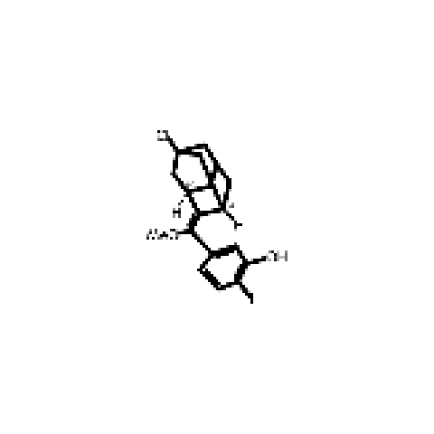 COC(=C1[C@@H]2CC3C[C@H]1CC(Cl)(C3)C2)c1ccc(I)c(O)c1